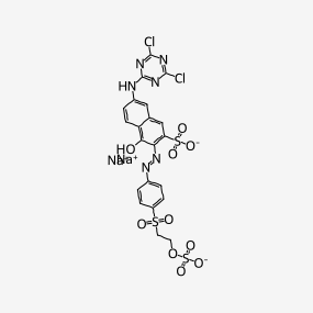 O=S(=O)([O-])OCCS(=O)(=O)c1ccc(N=Nc2c(S(=O)(=O)[O-])cc3cc(Nc4nc(Cl)nc(Cl)n4)ccc3c2O)cc1.[Na+].[Na+]